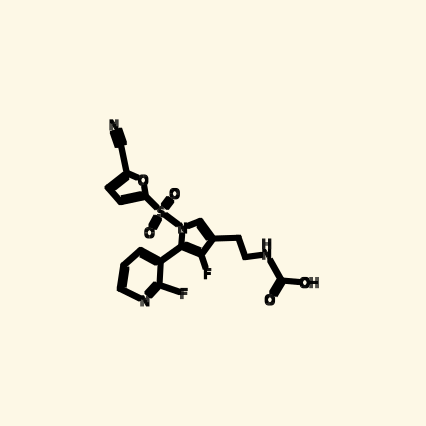 N#Cc1ccc(S(=O)(=O)n2cc(CCNC(=O)O)c(F)c2-c2cccnc2F)o1